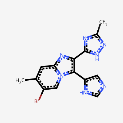 Cc1cc2nc(-c3nc(C(F)(F)F)n[nH]3)c(-c3cnc[nH]3)n2cc1Br